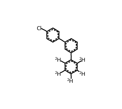 [2H]c1c([2H])c([2H])c(-c2cccc(-c3ccc(Cl)cc3)c2)c([2H])c1[2H]